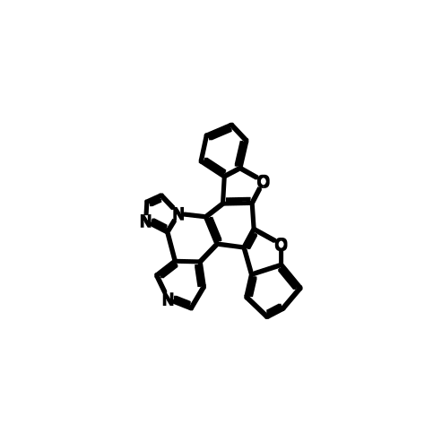 c1ccc2c(c1)oc1c3oc4ccccc4c3c3c(c4ccncc4c4nccn43)c21